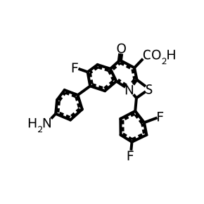 Nc1ccc(-c2cc3c(cc2F)c(=O)c(C(=O)O)c2n3C(c3ccc(F)cc3F)S2)cc1